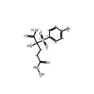 NC(=O)C(O)(CCC(=O)NO)S(=O)(=O)c1ccc(Br)cc1